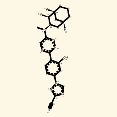 CN(c1cnc(-c2ccc(-n3cnc(C#N)n3)cc2O)nn1)[C@@H]1C[C@H]2CCC[C@H](C2)[C@@H]1F